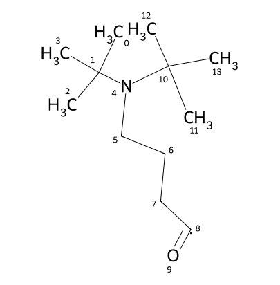 CC(C)(C)N(CCC[C]=O)C(C)(C)C